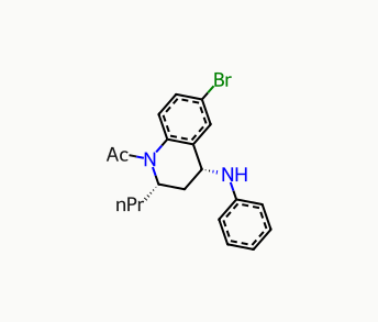 CCC[C@H]1C[C@@H](Nc2ccccc2)c2cc(Br)ccc2N1C(C)=O